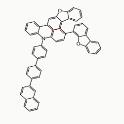 c1ccc(N(c2ccc(-c3ccc(-c4ccc5ccccc5c4)cc3)cc2)c2ccc(-c3cccc4c3oc3ccccc34)cc2)c(-c2ccc3c(c2)oc2ccccc23)c1